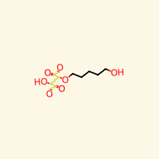 O=S(=O)(O)S(=O)(=O)OCCCCCO